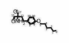 CCCCCCOc1ccc(CCC(N)(C=O)C=O)cc1